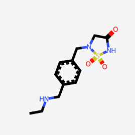 CCNCc1ccc(CN2CC(=O)NS2(=O)=O)cc1